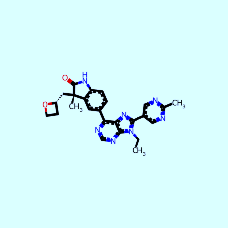 CCn1c(-c2cnc(C)nc2)nc2c(-c3ccc4c(c3)[C@](C)(C[C@@H]3CCO3)C(=O)N4)ncnc21